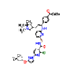 COC(=O)c1ccc(C(CCC2CN(C)C(C)(C)C2)Nc2cccc(SNC(=O)c3ccc(-n4ccc(OCCC5(C(F)(F)F)CC5)n4)nc3Cl)n2)cc1